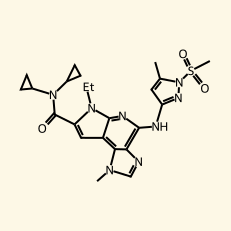 CCn1c(C(=O)N(C2CC2)C2CC2)cc2c3c(ncn3C)c(Nc3cc(C)n(S(C)(=O)=O)n3)nc21